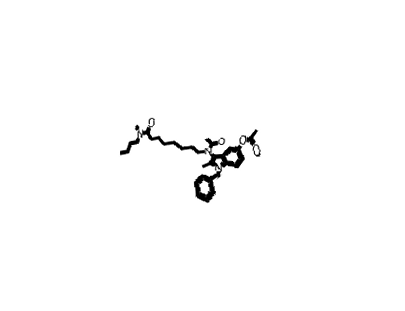 CCCCN(C)C(=O)CCCCCCCN(C(C)=O)c1c(C)n(Cc2ccccc2)c2ccc(OC(C)=O)cc12